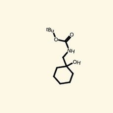 CC(C)(C)OC(=O)NCC1(O)CCCCC1